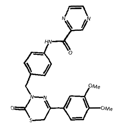 COc1ccc(C2=NN(Cc3ccc(NC(=O)c4cnccn4)cc3)C(=O)SC2)cc1OC